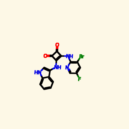 O=c1c(Nc2ncc(F)cc2Br)c(Nc2c[nH]c3ccccc23)c1=O